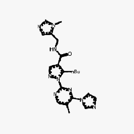 CCCCc1c(C(=O)NCc2cncn2C)cnn1-c1ncc(C)c(-n2ccnc2)n1